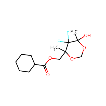 CC1(COC(=O)C2CCCCC2)OCOC(O)(C(F)(F)F)C1(F)F